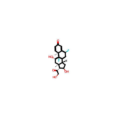 C[C@]12C[C@H](O)[C@@]3(F)C(C[C@H](F)C4=CC(=O)C=C[C@@]43C)[C@@H]1C[C@@H](O)[C@@H]2C(=O)CO